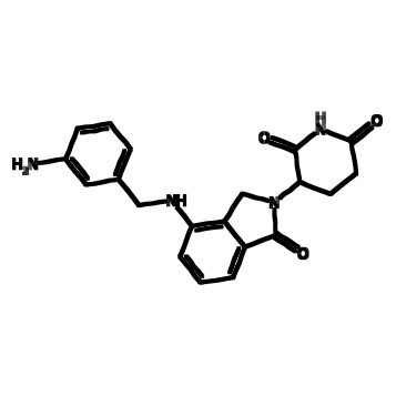 Nc1cccc(CNc2cccc3c2CN(C2CCC(=O)NC2=O)C3=O)c1